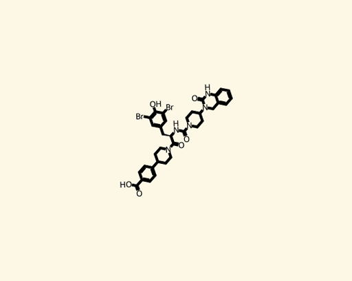 O=C(O)c1ccc(C2CCN(C(=O)[C@@H](Cc3cc(Br)c(O)c(Br)c3)NC(=O)N3CCC(N4Cc5ccccc5NC4=O)CC3)CC2)cc1